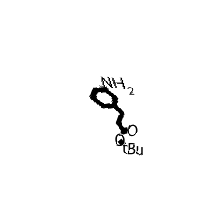 CC(C)(C)OC(=O)CCC1CCC[C@@H](N)C1